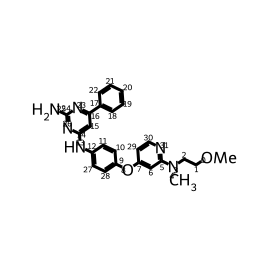 COCCN(C)c1cc(Oc2ccc(Nc3cc(-c4ccccc4)nc(N)n3)cc2)ccn1